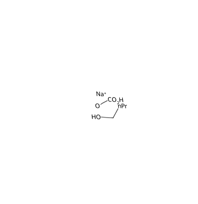 CCCCO.O=C([O-])O.[Na+]